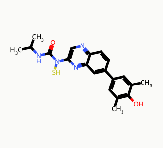 Cc1cc(-c2ccc3ncc(N(S)C(=O)NC(C)C)nc3c2)cc(C)c1O